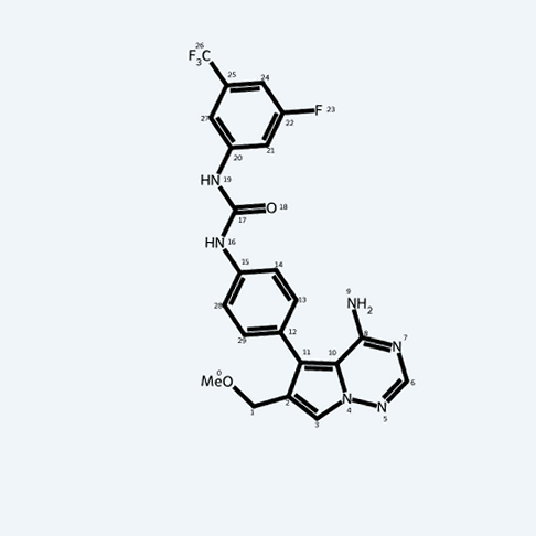 COCc1cn2ncnc(N)c2c1-c1ccc(NC(=O)Nc2cc(F)cc(C(F)(F)F)c2)cc1